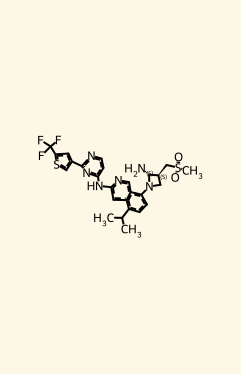 CC(C)c1ccc(N2C[C@H](CS(C)(=O)=O)[C@H]2N)c2cnc(Nc3ccnc(-c4csc(C(F)(F)F)c4)n3)cc12